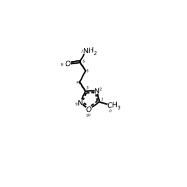 Cc1nc([CH]CC(N)=O)no1